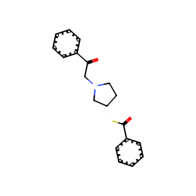 O=C(CN1CC[C@H](SC(=O)c2ccccc2)C1)c1ccccc1